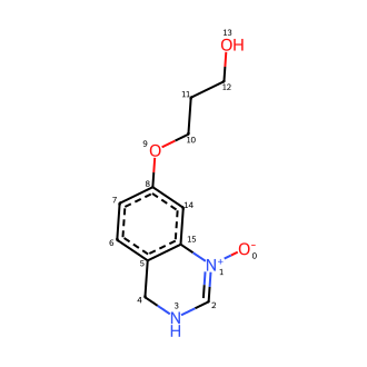 [O-][N+]1=CNCc2ccc(OCCCO)cc21